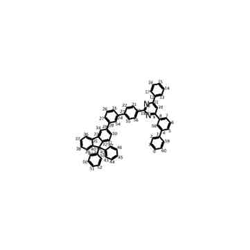 c1ccc(-c2cccc(-c3cc(-c4ccccc4)nc(-c4ccc(-c5cccc(-c6ccc7c(c6)-c6ccccc6C7(c6ccccc6)c6ccccc6)c5)cc4)n3)c2)cc1